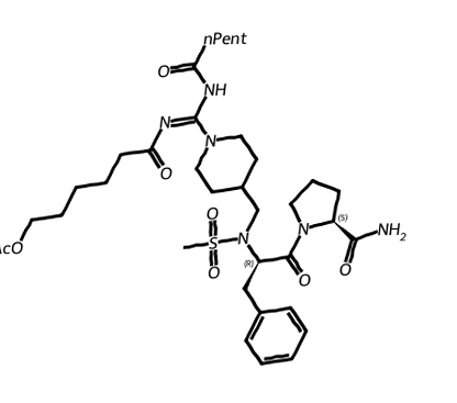 CCCCCC(=O)NC(=NC(=O)CCCCCOC(C)=O)N1CCC(CN([C@H](Cc2ccccc2)C(=O)N2CCC[C@H]2C(N)=O)S(C)(=O)=O)CC1